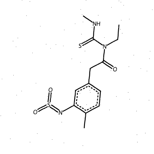 CCN(C(=O)Cc1ccc(C)c(N=S(=O)=O)c1)C(=S)NC